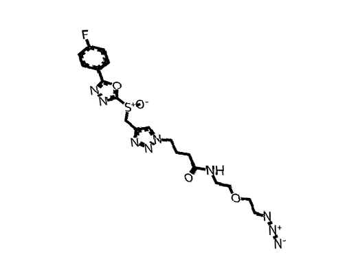 [N-]=[N+]=NCCOCCNC(=O)CCCn1cc(C[S+]([O-])c2nnc(-c3ccc(F)cc3)o2)nn1